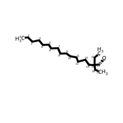 CCCCCCCCCCCCCCCC(CC)(CC)P=O